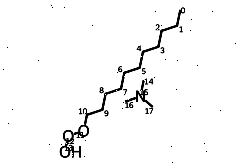 CCCCCCCCCCCOOO.CN(C)C